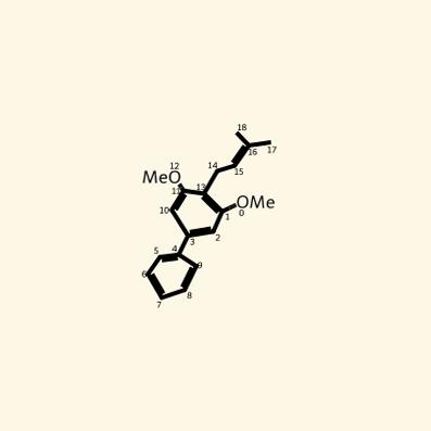 COc1cc(-c2ccccc2)cc(OC)c1CC=C(C)C